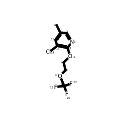 Cc1cnc(OCCOC(F)(F)F)c(Cl)c1